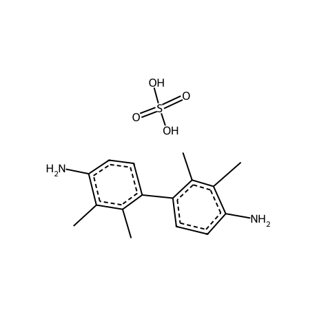 Cc1c(N)ccc(-c2ccc(N)c(C)c2C)c1C.O=S(=O)(O)O